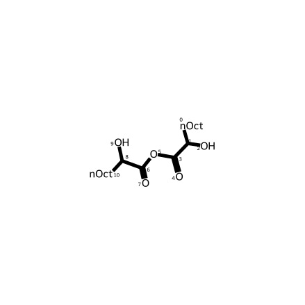 CCCCCCCCC(O)C(=O)OC(=O)C(O)CCCCCCCC